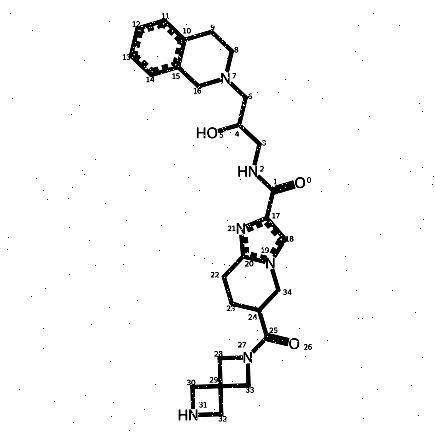 O=C(NCC(O)CN1CCc2ccccc2C1)c1cn2c(n1)CCC(C(=O)N1CC3(CNC3)C1)C2